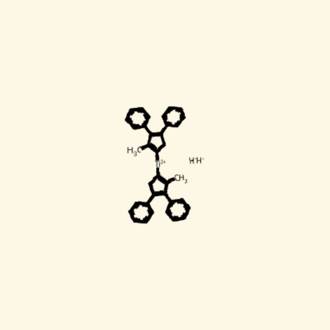 CC1=[C]([Ti+2][C]2=C(C)C(c3ccccc3)=C(c3ccccc3)C2)CC(c2ccccc2)=C1c1ccccc1.[H-].[H-]